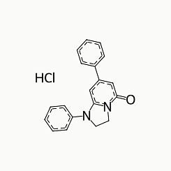 Cl.O=c1cc(-c2ccccc2)cc2n1CCN2c1ccccc1